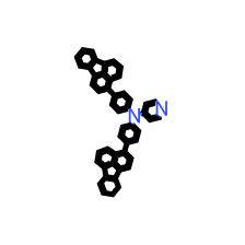 C1=CC2=C(CC1)c1ccc(-c3ccc(N(c4ccncc4)c4ccc(-c5ccc6c7c(cccc57)-c5ccccc5-6)cc4)cc3)c3cccc2c13